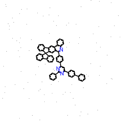 c1ccc(-c2ccc(-c3cc(-c4ccc(-c5nc6ccccc6c6cc7c(cc56)C5(c6ccccc6-c6ccccc65)c5ccccc5-7)cc4)nc(-c4ccccc4)n3)cc2)cc1